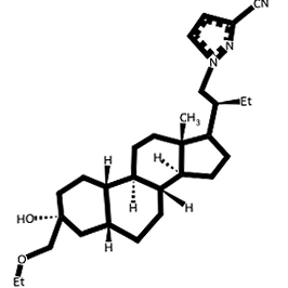 CCOC[C@@]1(O)CC[C@H]2[C@H](CC[C@@H]3[C@@H]2CC[C@]2(C)C([C@H](CC)Cn4ccc(C#N)n4)CC[C@@H]32)C1